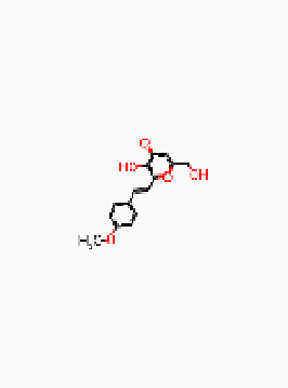 COc1ccc(/C=C/c2oc(CO)cc(=O)c2O)cc1